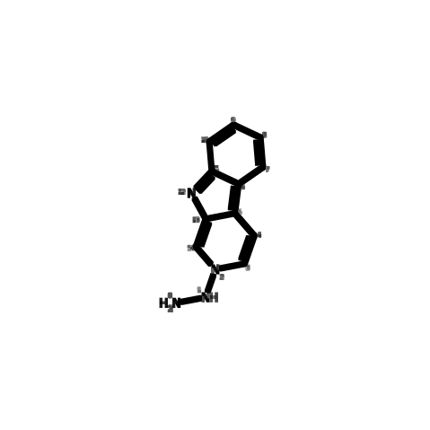 NNn1ccc2c3ccccc3nc-2c1